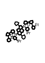 CCc1ccccc1-c1cccc2c1oc1c(N(c3cccc(C(C)C)c3)c3cc(C4CCCCC4)c4ccc5c(N(c6cccc(C(C)C)c6)c6cccc7c6oc6c(-c8ccccc8CC)cccc67)cc(C6CCCCC6)c6ccc3c4c65)cccc12